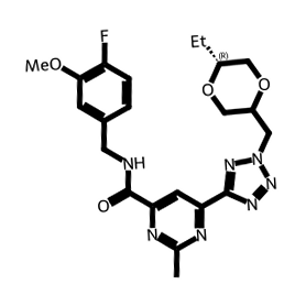 CC[C@@H]1COC(Cn2nnc(-c3cc(C(=O)NCc4ccc(F)c(OC)c4)nc(C)n3)n2)CO1